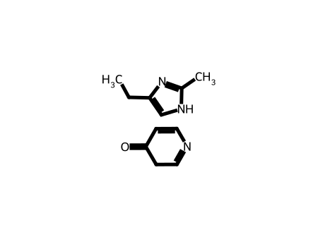 CCc1c[nH]c(C)n1.O=C1C=CN=CC1